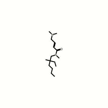 CCCCC(C)(CC)CN(C)C(=O)/C=C/CN(C)C